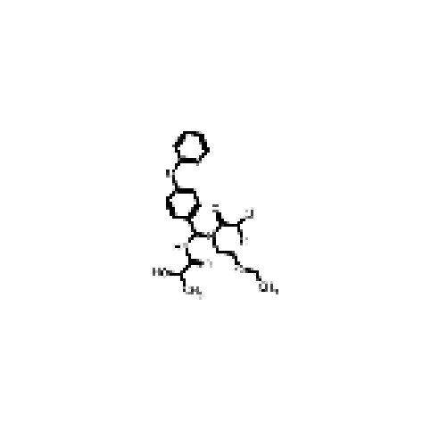 CCOCCN(C(=O)C(Cl)Cl)C(NC(=O)C(C)O)c1ccc(Oc2ccccc2)cc1